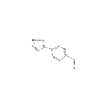 ClCc1ccc(-c2cn[nH]c2)cn1